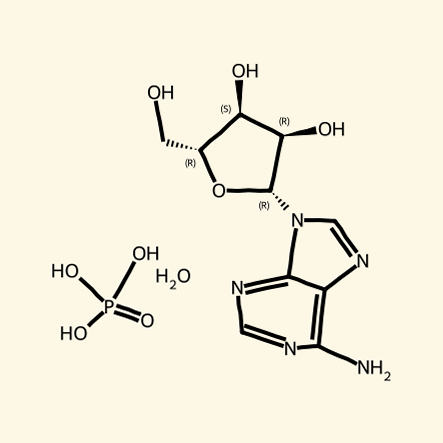 Nc1ncnc2c1ncn2[C@@H]1O[C@H](CO)[C@@H](O)[C@H]1O.O.O=P(O)(O)O